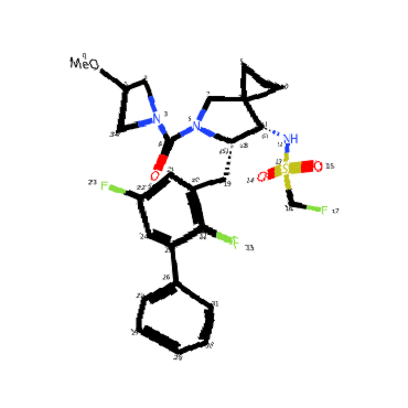 COC1CN(C(=O)N2CC3(CC3)[C@H](NS(=O)(=O)CF)[C@@H]2Cc2cc(F)cc(-c3ccccc3)c2F)C1